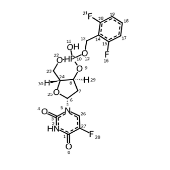 O=c1[nH]c(=O)n([C@H]2C[C@@H]3O[PH](O)(OCc4c(F)cccc4F)OC[C@H]3O2)cc1F